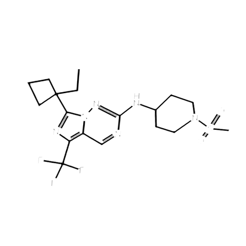 CCC1(c2nc(C(F)(F)F)c3cnc(NC4CCN(S(C)(=O)=O)CC4)nn23)CCC1